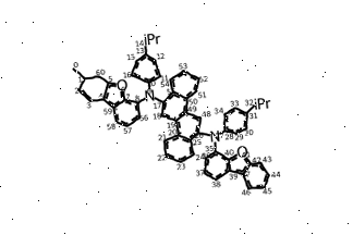 CC1C=Cc2c(oc3c(N(c4ccc(C(C)C)cc4)c4cc5c6ccccc6c(N(c6ccc(C(C)C)cc6)c6cccc7c6oc6ccccc67)cc5c5ccccc45)cccc23)C1